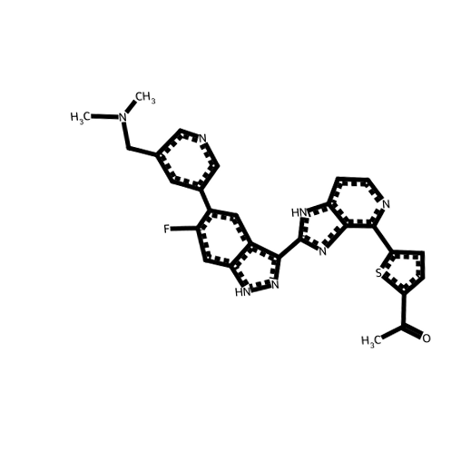 CC(=O)c1ccc(-c2nccc3[nH]c(-c4n[nH]c5cc(F)c(-c6cncc(CN(C)C)c6)cc45)nc23)s1